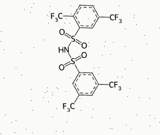 O=S(=O)(NS(=O)(=O)c1cc(C(F)(F)F)ccc1C(F)(F)F)c1cc(C(F)(F)F)cc(C(F)(F)F)c1